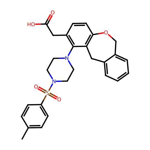 Cc1ccc(S(=O)(=O)N2CCN(c3c(CC(=O)O)ccc4c3Cc3ccccc3CO4)CC2)cc1